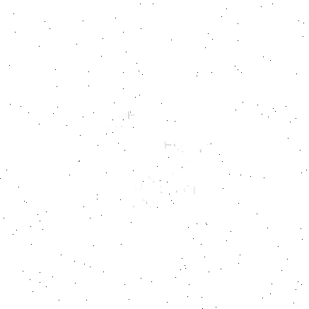 CCCC[C@@H](C)C[C@H](O)C=C[C@@H]1C(SCCCCCC(=O)O)=C(OC(=O)C(C)(C)C)C[C@H]1O